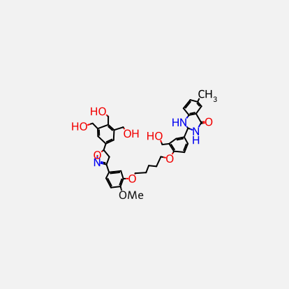 COc1ccc(C2=NOC(c3cc(CO)c(CO)c(CO)c3)C2)cc1OCCCCCOc1ccc(C2NC(=O)c3cc(C)ccc3N2)cc1CO